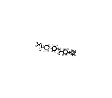 CC(C)OC(=O)C1CCC(c2ccc(NC(=O)c3ccc(-n4cncn4)cc3)cc2)CC1